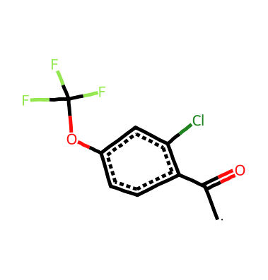 [CH2]C(=O)c1ccc(OC(F)(F)F)cc1Cl